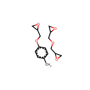 C(OCC1CO1)C1CO1.Cc1ccc(OCC2CO2)cc1